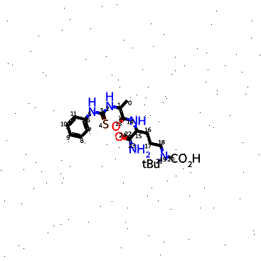 CC(NC(=S)Nc1ccccc1)C(=O)NC(CCCN(C(=O)O)C(C)(C)C)C(N)=O